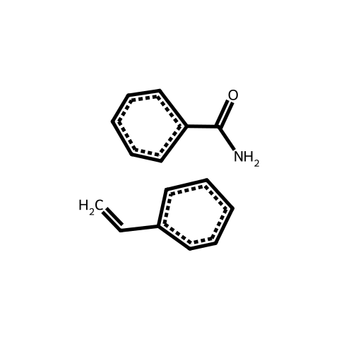 C=Cc1ccccc1.NC(=O)c1ccccc1